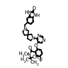 CN(C(=O)c1cc(F)ccc1Oc1cncnc1N1CCC2(CCN(Cc3ccc4[nH]c(=O)[nH]c4c3)C2)C1)C(C)(C)C